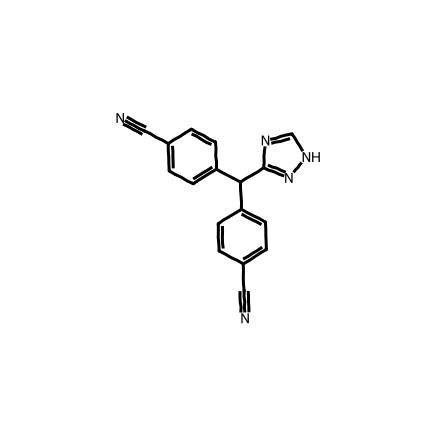 N#Cc1ccc(C(c2ccc(C#N)cc2)c2nc[nH]n2)cc1